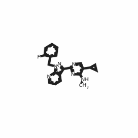 CNc1nc(-c2nn(Cc3ccccc3F)c3ncccc23)ncc1C1CC1